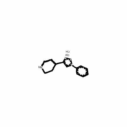 Cl.Cl.c1ccc(-n2cc(C3CCNCC3)nn2)cc1